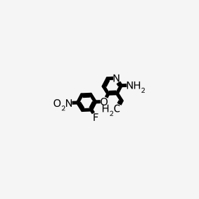 C=Cc1c(Oc2ccc([N+](=O)[O-])cc2F)ccnc1N